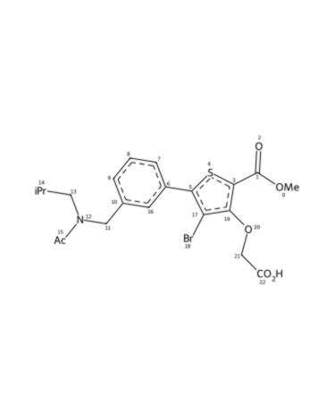 COC(=O)c1sc(-c2cccc(CN(CC(C)C)C(C)=O)c2)c(Br)c1OCC(=O)O